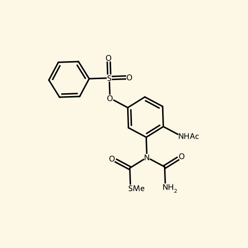 CSC(=O)N(C(N)=O)c1cc(OS(=O)(=O)c2ccccc2)ccc1NC(C)=O